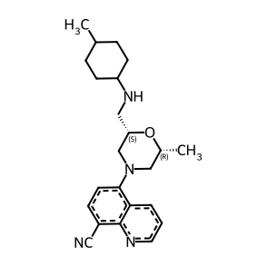 CC1CCC(NC[C@H]2CN(c3ccc(C#N)c4ncccc34)C[C@@H](C)O2)CC1